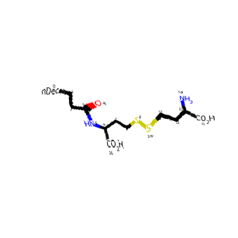 CCCCCCCCCCCCC(=O)NC(CCSSCCC(N)C(=O)O)C(=O)O